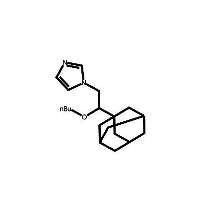 CCCCOC(Cn1ccnc1)C12CC3CC(CC(C3)C1)C2